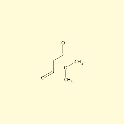 COC.O=CCC=O